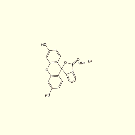 O=C1OC2(c3ccc(O)cc3Oc3cc(O)ccc32)c2ccccc21.[Eu].[NaH]